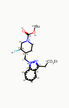 CCOC(=O)Cc1nn(C[C@@H]2CCN(C(=O)OC(C)(C)C)C[C@@H]2F)c2ccccc12